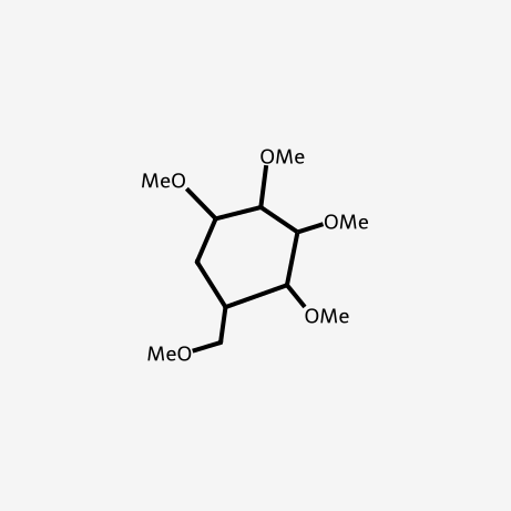 COCC1CC(OC)C(OC)C(OC)C1OC